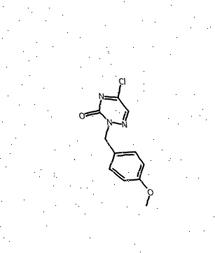 COc1ccc(Cn2ncc(Cl)nc2=O)cc1